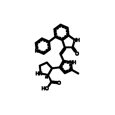 Cc1cc(C2CCN[C@@H]2C(=O)O)c(C=C2C(=O)Nc3cccc(-c4ccncc4)c32)[nH]1